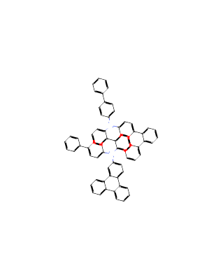 c1ccc(-c2ccc(N(c3ccc4c5ccccc5c5ccccc5c4c3)c3ccccc3-c3ccccc3N(c3ccc(-c4ccccc4)cc3)c3ccc4c5ccccc5c5ccccc5c4c3)cc2)cc1